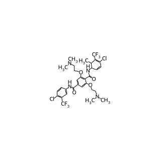 CC1C(C(F)(F)F)=C(Cl)C=CC1NC(=O)c1c(OCCN(C)C)cc(C(=O)Nc2ccc(Cl)c(C(F)(F)F)c2)cc1OCCN(C)C